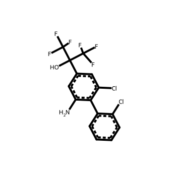 Nc1cc(C(O)(C(F)(F)F)C(F)(F)F)cc(Cl)c1-c1ccccc1Cl